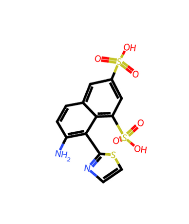 Nc1ccc2cc(S(=O)(=O)O)cc(S(=O)(=O)O)c2c1-c1nccs1